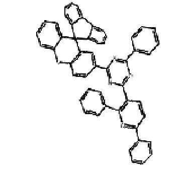 c1ccc(-c2ccc(-c3nc(-c4ccccc4)nc(-c4ccc5c(c4)C4(c6ccccc6S5)c5ccccc5-c5ccccc54)n3)c(-c3ccccc3)n2)cc1